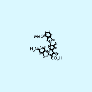 COc1cccc2c1CN(c1nc3c(cc1Cl)c(=O)c(C(=O)O)cn3-c1cnc(N)cc1C)C2